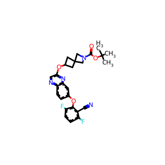 CC(C)(C)OC(=O)N1CC2(CC(Oc3cnc4ccc(Oc5c(F)ccc(F)c5C#N)cc4n3)C2)C1